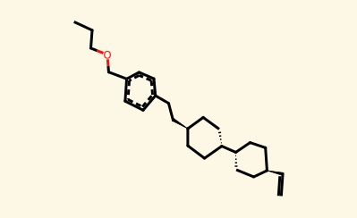 C=C[C@H]1CC[C@H]([C@H]2CC[C@H](CCc3ccc(COCCC)cc3)CC2)CC1